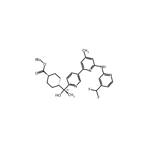 Cc1cc(Nc2cc(C(F)F)ccn2)nc(-c2ccc([C@](C)(O)[C@H]3CC[C@H](C(=O)OC(C)(C)C)CC3)nc2)c1